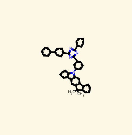 CC1(C)c2ccccc2-c2cc3c(cc21)c1ccccc1n3-c1cccc(-c2nc(-c3ccccc3)nc(-c3ccc(-c4ccccc4)cc3)n2)c1